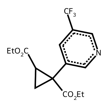 CCOC(=O)C1CC1(C(=O)OCC)c1cncc(C(F)(F)F)c1